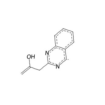 C=C(O)Cc1n[c]c2ccccc2n1